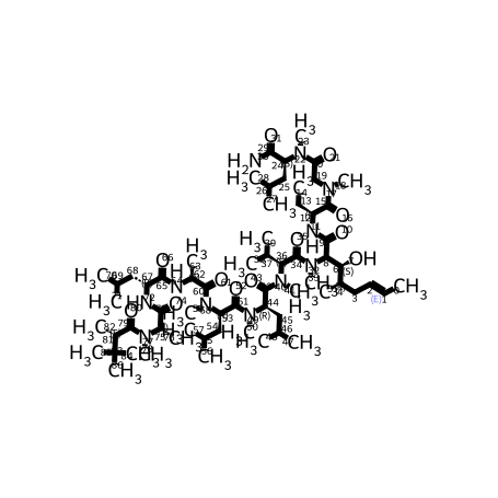 C/C=C/C[C@@H](C)[C@H](O)C(C(=O)N[C@@H](CC)C(=O)N(C)CC(=O)N(C)[C@@H](CC(C)C)C(N)=O)N(C)C(=O)[C@H](C(C)C)N(C)C(=O)[C@@H](CC(C)C)N(C)C(=O)[C@@H](CC(C)C)N(C)C(=O)[C@H](C)NC(=O)[C@@H](CC(C)C)NC(=O)[C@H](C)N(C)C(=O)[C@@H](C)C(C)(C)C